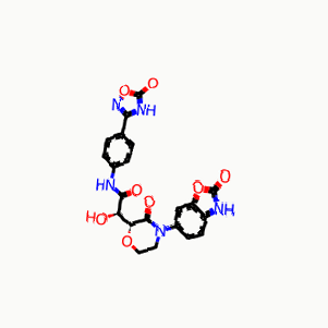 O=C(Nc1ccc(-c2noc(=O)[nH]2)cc1)[C@H](O)[C@H]1OCCN(c2ccc3[nH]c(=O)oc3c2)C1=O